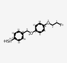 FCCOc1ccc(OCc2cc[c]([SnH])cc2)cc1